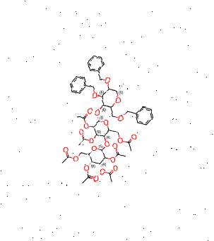 CC(=O)OCC1O[C@@H](O[C@@H]2C(COC(C)=O)O[C@@H](O[C@@H]3C(COCc4ccccc4)O[C@@H](C)C(OCc4ccccc4)[C@@H]3OCc3ccccc3)C(OC(C)=O)[C@@H]2OC(C)=O)C(OC(C)=O)[C@H](OC(C)=O)[C@@H]1OC(C)=O